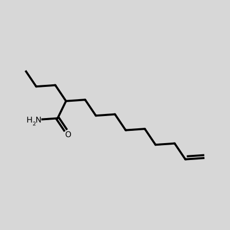 C=CCCCCCCCC(CCC)C(N)=O